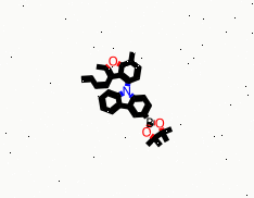 C=C/C=C\C1=C(C)OC2C1=C(n1c3ccccc3c3cc(B4OC(C)(C)C(C)(C)O4)ccc31)C=CC2C